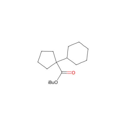 CC(C)COC(=O)C1(C2CCCCC2)CCCC1